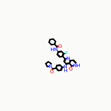 O=C(Nc1ccc(-c2cc(Nc3ccc(C(=O)N4CCCC4)cc3)c3c(=O)[nH]ccc3n2)c(F)c1)C1CCCCC1